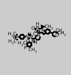 CCP(=O)(CC)c1ccc(-n2ccn(-c3c4c(nn3-c3cc(C)c(F)c(C)c3)CCN(C(=O)c3cc5cc(C6CCOC(C)(C)C6)ccc5n3C3(c5noc(=O)[nH]5)CC3C)C4C)c2=O)cc1